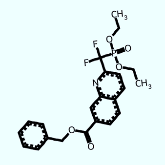 CCOP(=O)(OCC)C(F)(F)c1ccc2ccc(C(=O)OCc3ccccc3)cc2n1